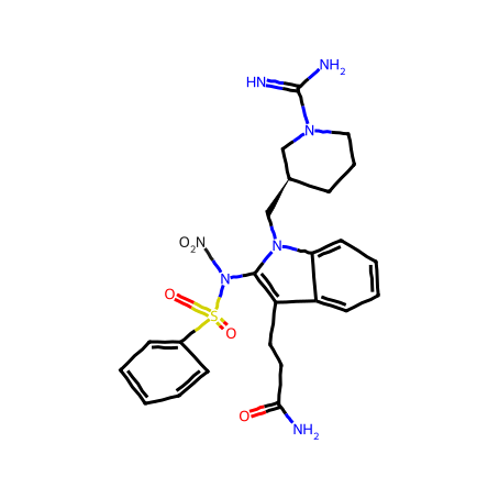 N=C(N)N1CCC[C@@H](Cn2c(N([N+](=O)[O-])S(=O)(=O)c3ccccc3)c(CCC(N)=O)c3ccccc32)C1